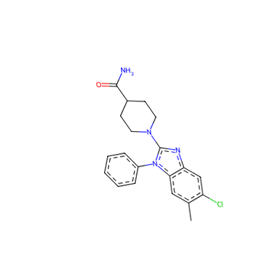 Cc1cc2c(cc1Cl)nc(N1CCC(C(N)=O)CC1)n2-c1ccccc1